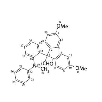 COc1ccc(C(C=O)(c2ccc(OC)cc2)c2ccccc2N(C)c2ccccc2)cc1